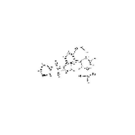 CC(C)N1CCOc2ccc3c(ccn3S(=O)(=O)c3ccccc3)c2C1OC(=O)C(F)(F)F